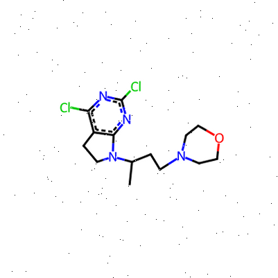 CC(CCN1CCOCC1)N1CCc2c(Cl)nc(Cl)nc21